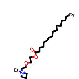 CC[N+]1(CCOCCOC(=O)CCCCCCCCCCCCCCC(C)C)CCC1